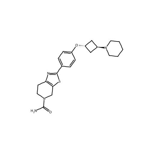 NC(=O)N1CCc2nc(-c3ccc(O[C@H]4C[C@H](N5CCCCC5)C4)cc3)sc2C1